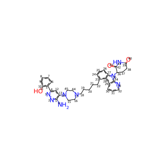 Nc1nnc(-c2ccccc2O)cc1N1CCN(CCCCCc2cccc3c2c2cccnc2n3C2CCC(=O)NC2=O)CC1